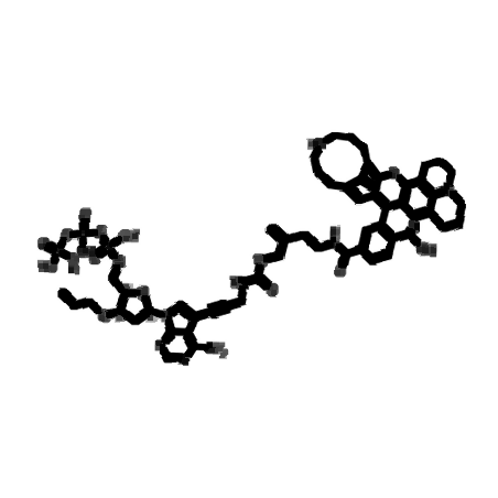 C=CCO[C@@H]1C[C@H](n2cc(C#CCNC(=O)OCC(=C)CCNC(=O)c3ccc(C(=O)O)c(C4=c5cc6c(=C)c(c5Oc5c4cc4c7c5CCCN7CCC4)CCCNCCC6)c3)c3c(N)ncnc32)O[C@@H]1COP(=O)(O)OP(=O)(O)OP(=O)(O)O